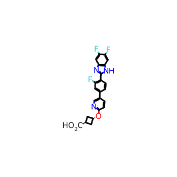 O=C(O)[C@H]1C[C@H](Oc2ccc(-c3ccc(-c4nc5cc(F)c(F)cc5[nH]4)c(F)c3)cn2)C1